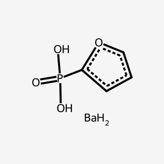 O=P(O)(O)c1ccco1.[BaH2]